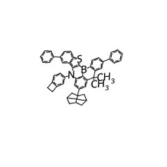 CC1(C)c2cc(-c3ccccc3)ccc2B2c3sc4ccc(-c5ccccc5)cc4c3N(c3ccc4c(c3)CC4)c3cc(C45CC6CC4CC6C5)cc1c32